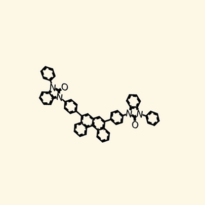 O=c1n(-c2ccccc2)c2ccccc2n1-c1ccc(-c2cc3cc(-c4ccc(-n5c(=O)n(-c6ccccc6)c6ccccc65)cc4)c4ccccc4c3c3ccccc23)cc1